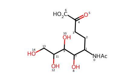 CC(=O)NC(CCC(=O)C(=O)O)C(O)C(O)C(O)CO